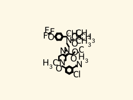 CCOC(=O)c1c2c(nn1CCN(C(=O)OC(C)(C)C)[C@@H](C)c1ccc(OC(F)(F)F)cc1)C[C@@H](C)N(C(=O)c1ccc(Cl)c(C#N)c1)C2